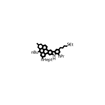 CCCCCCCc1cc2c(CCCC)c3c4c(ccc5c6cc7c(cc6c(c1)c2c45)[nH]c1c(CCC)cc(CCCCSCC)cc17)CC(C)C3